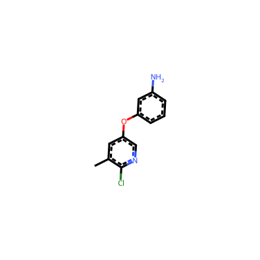 Cc1cc(Oc2cccc(N)c2)cnc1Cl